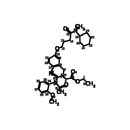 CCOC(=O)CN1Cc2cc(OCCCC(=O)N(C)C3CCCCC3)ccc2N=C1N(C(C)=O)c1ccccc1OC